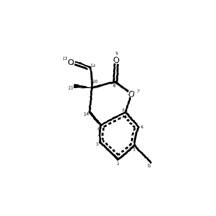 Cc1ccc2c(c1)OC(=O)[C@@](C)(C=O)C2